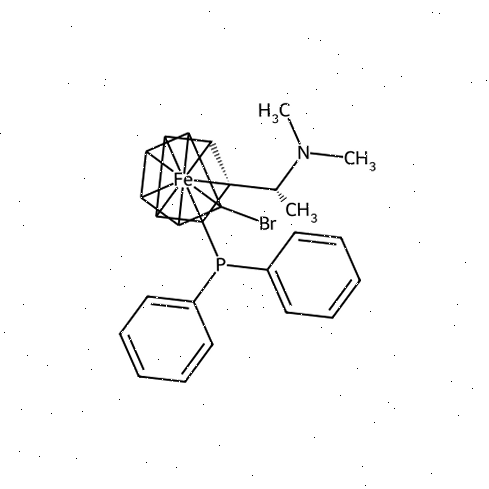 C[C@@H](N(C)C)[C@@]12[CH]3[CH]4[CH]5[C]1(P(c1ccccc1)c1ccccc1)[Fe]45321678[CH]2[CH]1[CH]6[C]7(Br)[CH]28